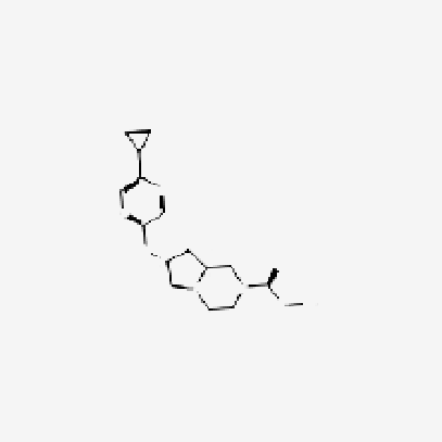 CC(C)(C)OC(=O)N1CCN2C[C@@H](Oc3cnc(C4CC4)cn3)C[C@H]2C1